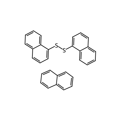 c1ccc2c(SSc3cccc4ccccc34)cccc2c1.c1ccc2ccccc2c1